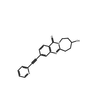 O=c1c2ccc(C#Cc3ccccn3)cc2nc2n1CCC(O)CC2